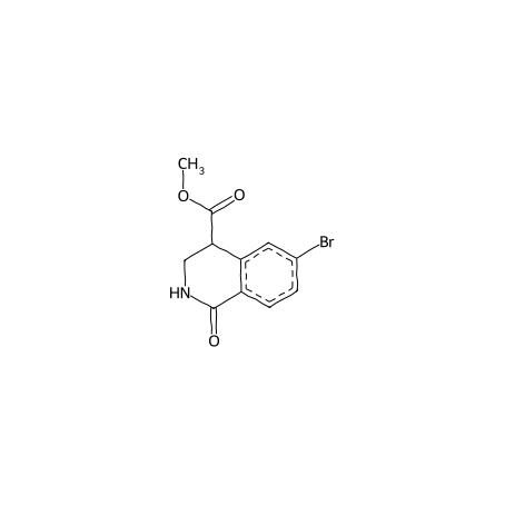 COC(=O)C1CNC(=O)c2ccc(Br)cc21